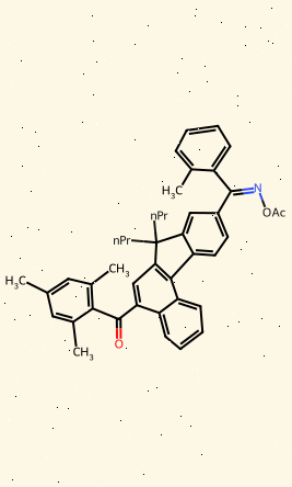 CCCC1(CCC)c2cc(/C(=N\OC(C)=O)c3ccccc3C)ccc2-c2c1cc(C(=O)c1c(C)cc(C)cc1C)c1ccccc21